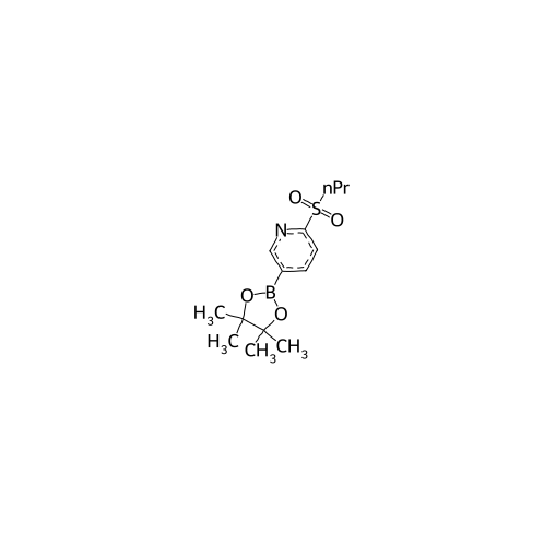 CCCS(=O)(=O)c1ccc(B2OC(C)(C)C(C)(C)O2)cn1